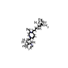 CCCN(C)/C(=N\C)NC(N)/C1=C/C/C(CF)=C(/CCCNCCC(C)(C)NCC)CC=C1